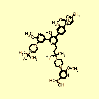 COc1ncc(-c2nc(CCC(C)(C)N3CCN(c4cc(B(O)O)cnc4OC)CC3)cc(-c3ccc(N(C=O)/C=C\N(C)C)c(C)c3)c2O)cc1N1CCN(C(C)(C)C)CC1